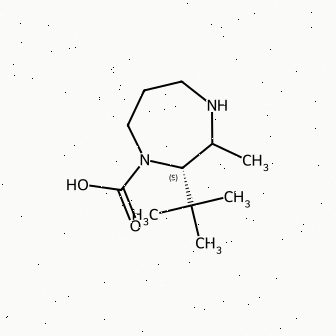 CC1NCCCN(C(=O)O)[C@H]1C(C)(C)C